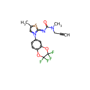 C#CCN(C)C(=O)/N=c1\sc(C)cn1-c1ccc2c(c1)OC(F)(F)C(F)(F)O2